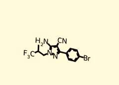 CC(Cn1nc(-c2ccc(Br)cc2)c(C#N)c1N)C(F)(F)F